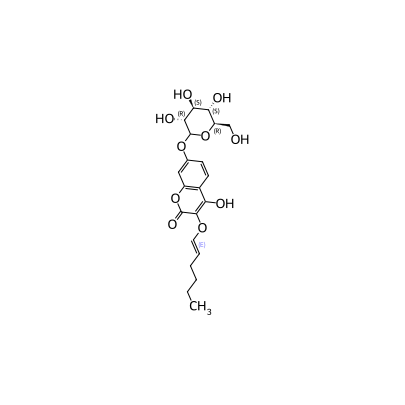 CCCC/C=C/Oc1c(O)c2ccc(OC3O[C@H](CO)[C@@H](O)[C@H](O)[C@H]3O)cc2oc1=O